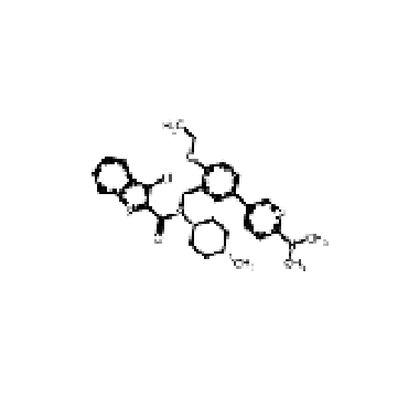 CCOc1ccc(-c2ccc(N(C)C)nc2)cc1CN(C(=O)c1sc2ccccc2c1Cl)[C@H]1CC[C@H](C)CC1